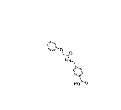 O=C(COc1cccnc1)NCc1ccc(C(=O)O)cc1